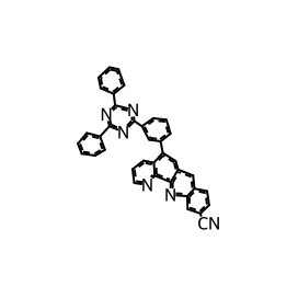 N#Cc1ccc2cc3cc(-c4cccc(-c5nc(-c6ccccc6)nc(-c6ccccc6)n5)c4)c4cccnc4c3nc2c1